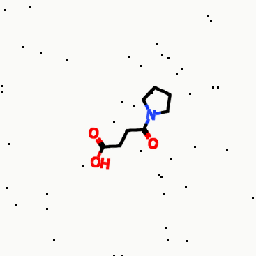 O=C(O)CCC(=O)N1CCCC1